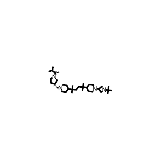 CC(C)[C@@H](C)N1CC[C@@H](CN2CCC(C(C)(C)CCC(C)(C)C3CCN(C4CN(C(C)(C)C)C4)CC3)CC2)C1